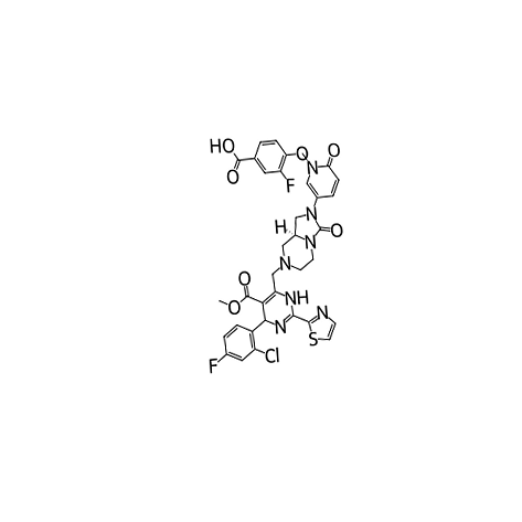 COC(=O)C1=C(CN2CCN3C(=O)N(c4ccc(=O)n(Oc5ccc(C(=O)O)cc5F)c4)C[C@@H]3C2)NC(c2nccs2)=NC1c1ccc(F)cc1Cl